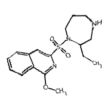 CCC1CNCCCN1S(=O)(=O)c1cc2ccccc2c(OC)n1